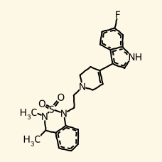 CC1c2ccccc2N(CCN2CC=C(c3c[nH]c4cc(F)ccc34)CC2)S(=O)(=O)N1C